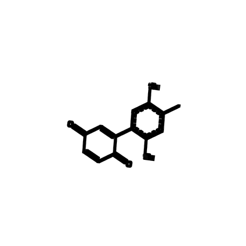 Cc1cc(C(C)(C)C)c(C2=CC(=O)C=CC2=O)cc1C(C)(C)C